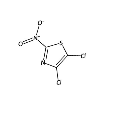 O=[N+]([O-])c1nc(Cl)c(Cl)s1